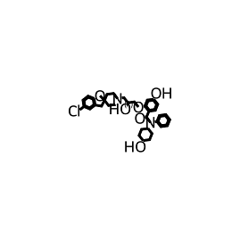 O=C(c1ccc(O)cc1OC[C@H](O)CN1CCC2(CC1)Cc1cc(Cl)ccc1O2)N(c1ccccc1)C1CCC(O)CC1